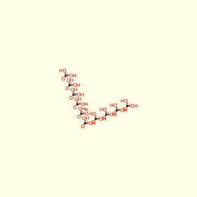 O=[Si](O)O.O=[Si](O)O.O=[Si](O)O.O=[Si](O)O.O=[Si](O)O.O=[Si](O)O.O=[Si](O)O.O=[Si](O)O.O=[Si](O)O.O=[Si](O)O